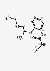 CCOCC(C)Sc1ccccc1OC(=O)NC